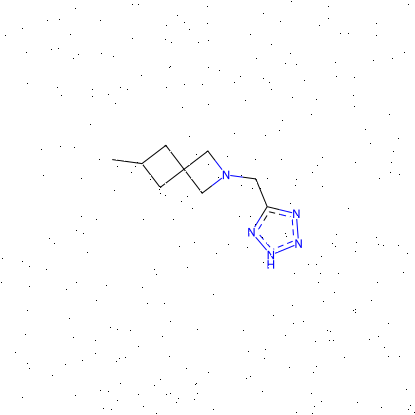 CC1CC2(C1)CN(Cc1nn[nH]n1)C2